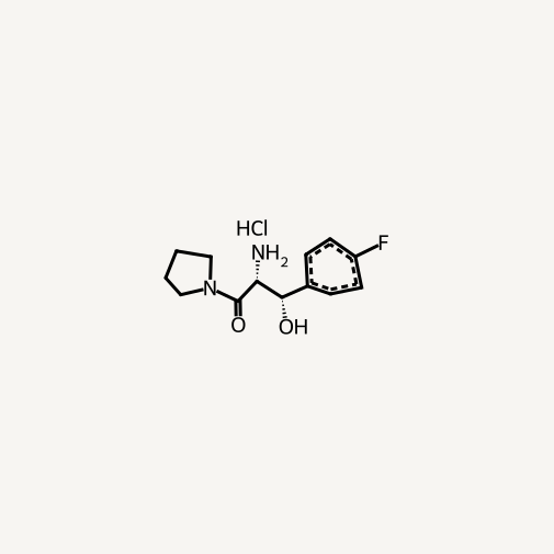 Cl.N[C@@H](C(=O)N1CCCC1)[C@@H](O)c1ccc(F)cc1